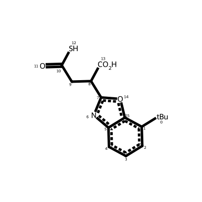 CC(C)(C)c1cccc2nc(C(CC(=O)S)C(=O)O)oc12